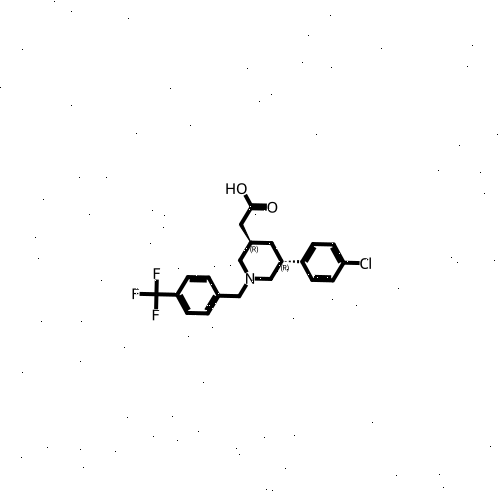 O=C(O)C[C@H]1C[C@H](c2ccc(Cl)cc2)CN(Cc2ccc(C(F)(F)F)cc2)C1